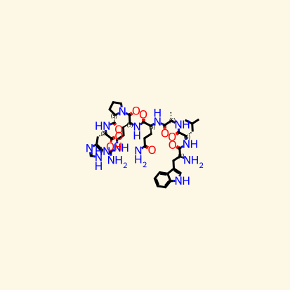 CC(C)C[C@H](NC(=O)[C@@H](N)Cc1c[nH]c2ccccc12)C(=O)N[C@@H](C)C(=O)N[C@@H](CCC(N)=O)C(=O)N[C@@H](CCCNC(=N)N)C(=O)N1CCC[C@H]1C(=O)N[C@@H](Cc1c[nH]cn1)C(=O)O